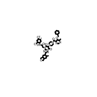 CCc1c(N2CCN(C(=O)c3ncnc(C)c3OCc3ccccc3)CC2)c(=O)n2nc(-c3cc4c(cc3C)COC4)nc2n1CC(=O)Nc1ccc(C(F)(F)F)cc1Cl